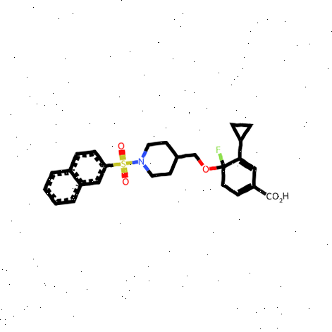 O=C(O)C1=CCC(F)(OCC2CCN(S(=O)(=O)c3ccc4ccccc4c3)CC2)C(C2CC2)=C1